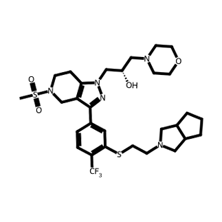 CS(=O)(=O)N1CCc2c(c(-c3ccc(C(F)(F)F)c(SCCN4CC5CCCC5C4)c3)nn2C[C@@H](O)CN2CCOCC2)C1